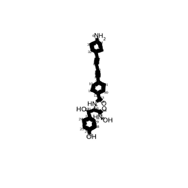 Nc1ccc(C#CC#Cc2ccc(C(=O)N[C@H](C(=O)NO)[C@@H](O)c3ccc(O)cc3)cc2)cc1